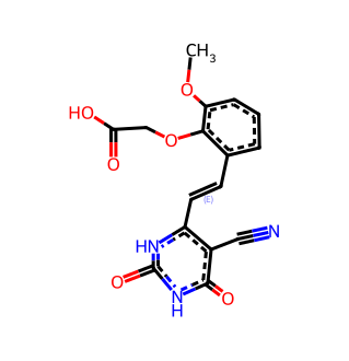 COc1cccc(/C=C/c2[nH]c(=O)[nH]c(=O)c2C#N)c1OCC(=O)O